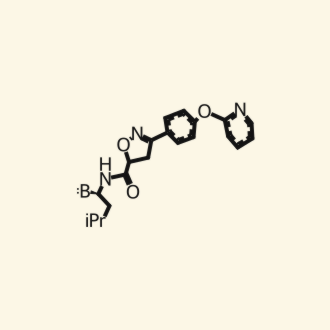 [B][C@H](CC(C)C)NC(=O)C1CC(c2ccc(Oc3ccccn3)cc2)=NO1